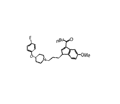 CCCCC(=O)C1=CC(CCCN2CCC(Oc3ccc(F)cc3)CC2)c2ccc(OC)cc21